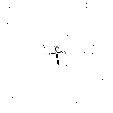 C=C=P(C)(C)C